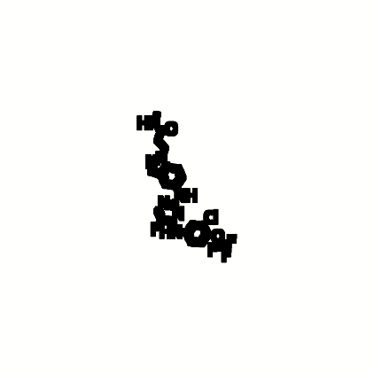 CNC(=O)CCn1ncc2cc(Nc3ncc(F)c(Nc4ccc(OC(F)(F)F)c(Cl)c4)n3)ccc21